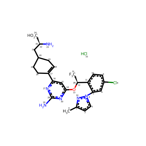 Cc1ccn(-c2cc(Cl)ccc2[C@@H](Oc2cc(C3=CCC(C[C@H](N)C(=O)O)CC3)nc(N)n2)C(F)(F)F)n1.Cl